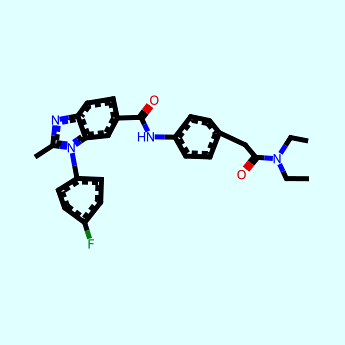 CCN(CC)C(=O)Cc1ccc(NC(=O)c2ccc3nc(C)n(-c4ccc(F)cc4)c3c2)cc1